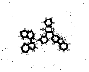 CC1CC=C(n2c3ccc4ccccc4c3c3c4ccccc4ccc32)C=C1C1=C(c2ccc3c(c2)oc2ccccc23)N=C2C=CC=CC2N1